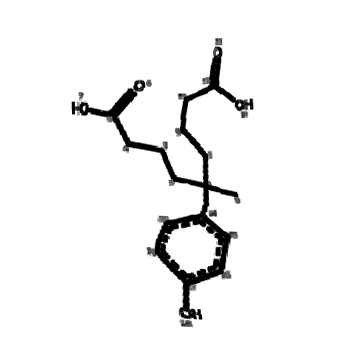 CC(CCCC(=O)O)(CCCC(=O)O)c1ccc(O)cc1